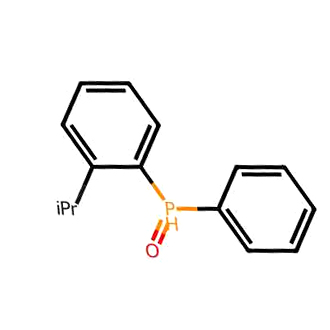 CC(C)c1ccccc1[PH](=O)c1ccccc1